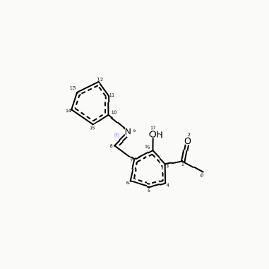 CC(=O)c1cccc(/C=N/c2ccccc2)c1O